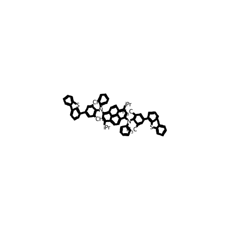 Cc1cc(-c2cccc3c2sc2ccccc23)cc(C)c1N(c1ccccc1)c1cc(C(C)C)c2ccc3c(N(c4ccccc4)c4c(C)cc(-c5cccc6c5sc5ccccc56)cc4C)cc(C(C)C)c4ccc1c2c43